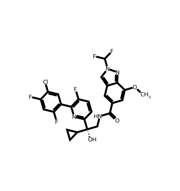 COc1cc(C(=O)NC[C@](O)(c2ccc(F)c(-c3cc(Cl)c(F)cc3F)n2)C2CC2)cc2cn(C(F)F)nc12